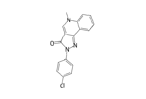 Cn1cc2c(=O)n(-c3ccc(Cl)cc3)nc-2c2ccccc21